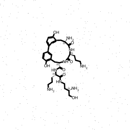 NCCC[C@H](NC(=O)[C@@H]1Cc2cc(ccc2O)-c2ccc(O)c(c2)C[C@H](N)C(=O)N[C@@H](CCCN)C(=O)N1)C(=O)NCC[C@H](N)CO